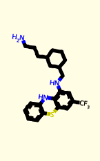 NCCCC1CCCC(CNc2cc(C(F)(F)F)cc3c2Nc2ccccc2S3)C1